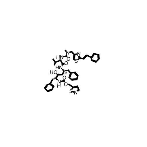 CC(C)[C@H](NC(=O)N(C)Cc1csc(C=Cc2ccccc2)n1)C(=O)N[C@@H](Cc1ccccc1)C[C@H](O)[C@H](Cc1ccccc1)NC(=O)OCc1ccns1